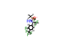 CC(C)(C)[S+]([O-])NC(c1ccc(C(F)(F)F)c(F)c1)C(F)(F)F